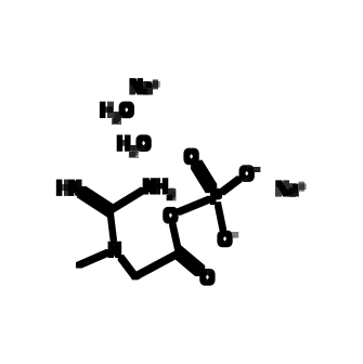 CN(CC(=O)OP(=O)([O-])[O-])C(=N)N.O.O.[Na+].[Na+]